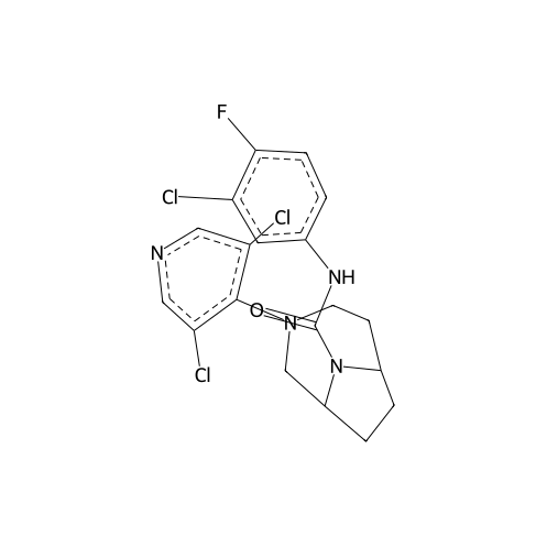 O=C(Nc1ccc(F)c(Cl)c1)N1C2CCC1CN(c1c(Cl)cncc1Cl)CC2